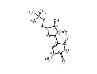 C=P(C)(C)CCC1OC(c2cn(CCCC)c(=O)[nH]c2=O)[C@H](O)[C@@H]1O